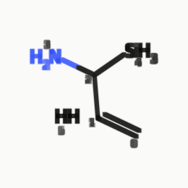 C=CC(N)[SiH3].[HH]